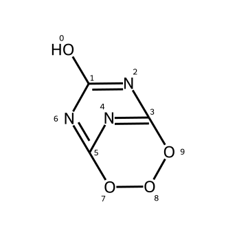 Oc1nc2nc(n1)OOO2